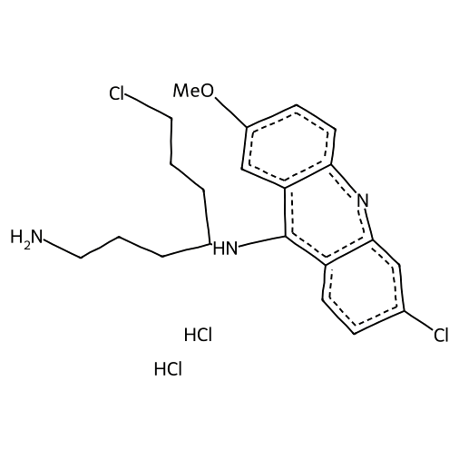 COc1ccc2nc3cc(Cl)ccc3c(NC(CCCN)CCCCl)c2c1.Cl.Cl